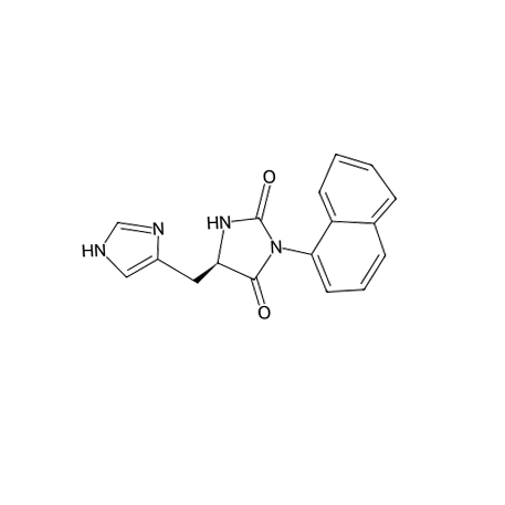 O=C1N[C@H](Cc2c[nH]cn2)C(=O)N1c1cccc2ccccc12